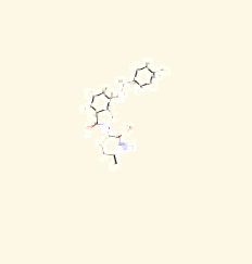 C=C1CCC(N2Cc3c(OCc4ccc(C)cc4)cccc3C2=O)C(=O)N1